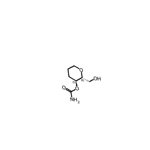 NC(=O)O[C@H]1CCCO[C@@H]1CO